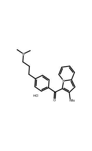 CCCCc1cc2ccccn2c1C(=O)c1ccc(CCCN(C)C)cc1.Cl